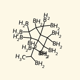 BC(C)C(B)(B)C12C(B)(B)C(B)(B)C3(B)C(B)(B)C31C(B)(B)C2(B)B